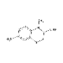 CN1c2ccc([N+](=O)[O-])cc2SCC1C=O